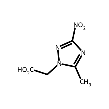 Cc1nc([N+](=O)[O-])nn1CC(=O)O